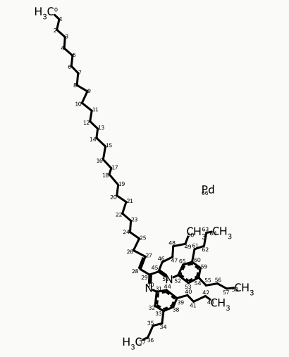 CCCCCCCCCCCCCCCCCCCCCCCCCCCC=CC(=Nc1cc(CCCC)cc(CCCC)c1)C(CCCCC)=Nc1cc(CCCC)cc(CCCC)c1.[Pd]